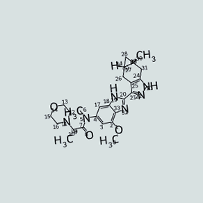 COc1cc(N(C)C(=O)[C@H](C)N2CCOCC2)cc2[nH]c(-c3n[nH]c4c3C[C@@H]3C[C@]3(C)C4)nc12